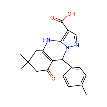 Cc1ccc(C2C3=C(CC(C)(C)CC3=O)Nc3c(C(=O)O)cnn32)cc1